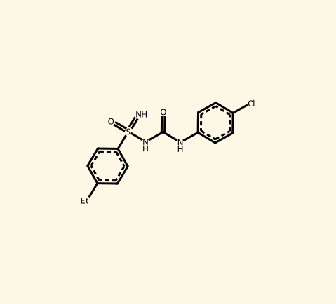 CCc1ccc(S(=N)(=O)NC(=O)Nc2ccc(Cl)cc2)cc1